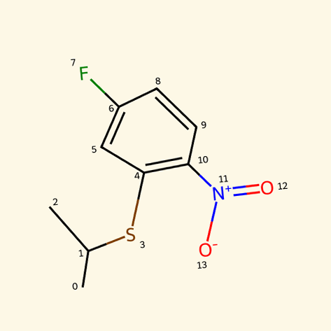 CC(C)Sc1cc(F)ccc1[N+](=O)[O-]